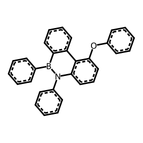 c1ccc(Oc2cccc3c2-c2ccccc2B(c2ccccc2)N3c2ccccc2)cc1